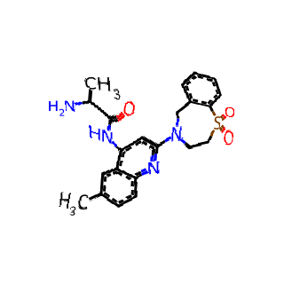 Cc1ccc2nc(N3CCS(=O)(=O)c4ccccc4C3)cc(NC(=O)C(C)N)c2c1